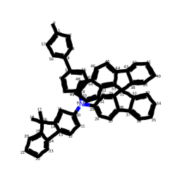 Cc1ccc(-c2ccc(N(c3ccc4c(c3)C(C)(C)c3ccccc3-4)c3ccc4c(c3)C3(c5ccccc5-4)c4ccccc4-c4ccc5ccccc5c43)cc2)cc1